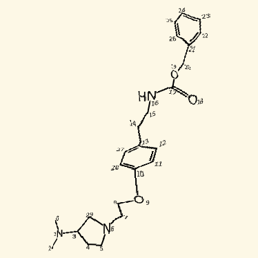 CN(C)C1CCN(CCOc2ccc(CCNC(=O)OCc3ccccc3)cc2)C1